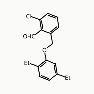 CCc1ccc(CC)c(OCc2cccc(Cl)c2C=O)c1